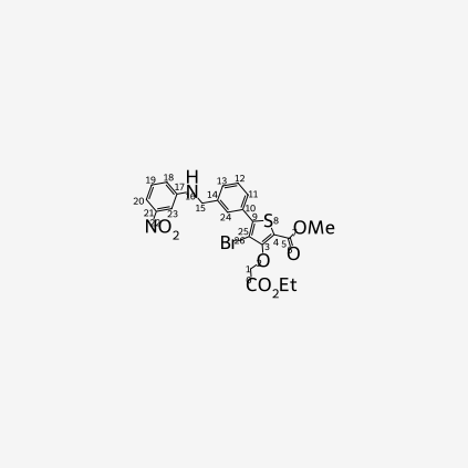 CCOC(=O)COc1c(C(=O)OC)sc(-c2cccc(CNc3cccc([N+](=O)[O-])c3)c2)c1Br